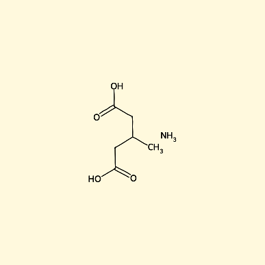 CC(CC(=O)O)CC(=O)O.N